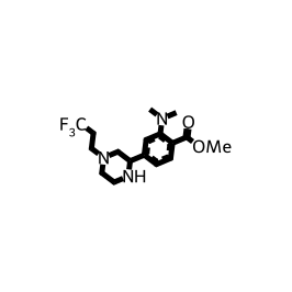 COC(=O)c1ccc(C2CN(CCC(F)(F)F)CCN2)cc1N(C)C